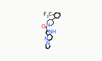 O=C(c1cc2nc(-n3cccc3)ccc2[nH]1)N1CCC(c2ccccc2C(F)(F)F)CC1